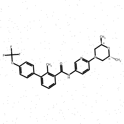 Cc1c(C(=O)Nc2ccc(N3C[C@@H](C)O[C@H](C)C3)nc2)cccc1-c1ccc(OC(F)(F)F)cc1